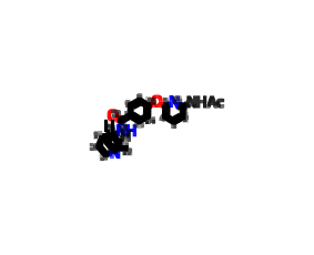 CC(=O)Nc1cccc(Oc2ccc(C(=O)N[C@@H]3C4CCN(CC4)[C@H]3C)cc2)n1